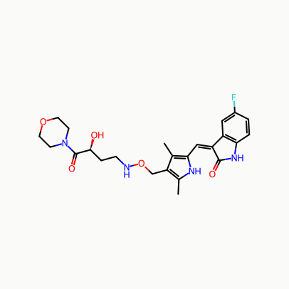 Cc1[nH]c(/C=C2\C(=O)Nc3ccc(F)cc32)c(C)c1CONCC[C@H](O)C(=O)N1CCOCC1